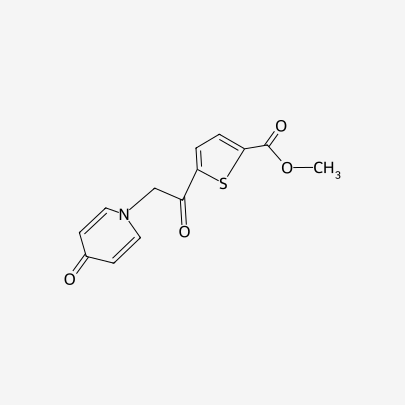 COC(=O)c1ccc(C(=O)Cn2ccc(=O)cc2)s1